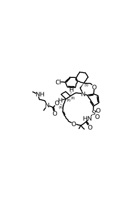 CNCCN(C)C(=O)O[C@H]1C=CCOC(C)(C)C(=O)NS(=O)(=O)c2ccc3c(c2)N(C[C@@H]2CC[C@H]21)C[C@@]1(CCCc2cc(Cl)ccc21)CO3